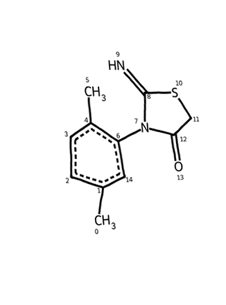 Cc1ccc(C)c(N2C(=N)SCC2=O)c1